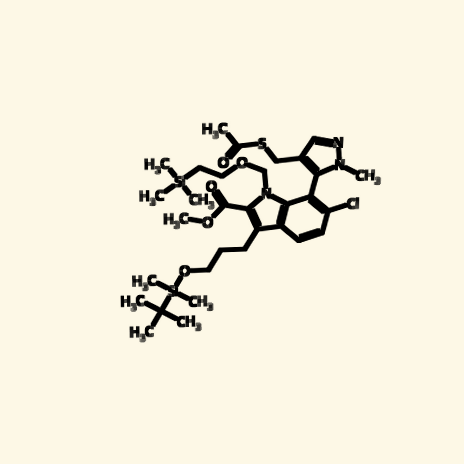 COC(=O)c1c(CCCO[Si](C)(C)C(C)(C)C)c2ccc(Cl)c(-c3c(CSC(C)=O)cnn3C)c2n1COCC[Si](C)(C)C